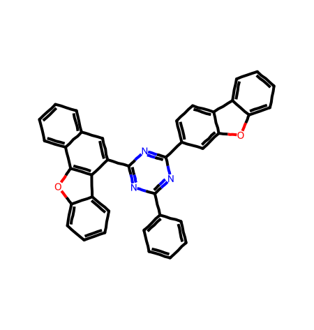 c1ccc(-c2nc(-c3ccc4c(c3)oc3ccccc34)nc(-c3cc4ccccc4c4oc5ccccc5c34)n2)cc1